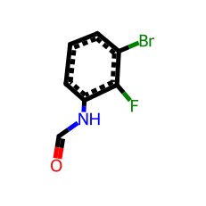 O=CNc1cccc(Br)c1F